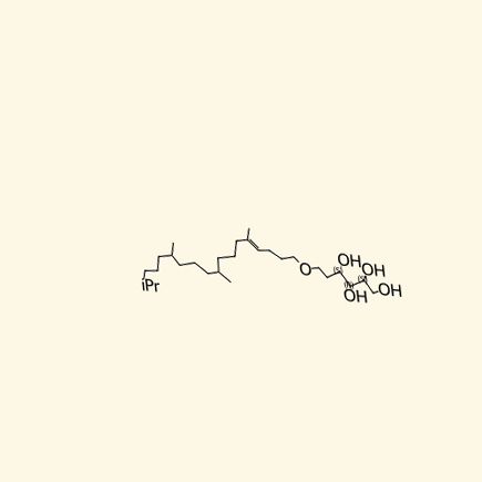 CC(=CCCCOCC[C@H](O)[C@@H](O)[C@@H](O)CO)CCCC(C)CCCC(C)CCCC(C)C